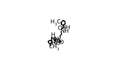 Cc1cccc(NC(=O)NCCCC[C@H](NC(=O)Nc2cccc(C)c2)C(=O)O)c1